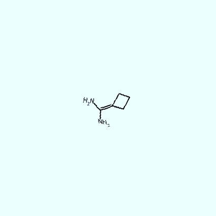 NC(N)=C1CCC1